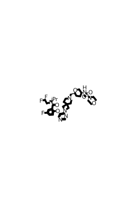 CC(C)N(CC(F)F)C(=O)c1cc(F)ccc1Oc1cncnc1N1CC2(CCN(C[C@@H]3CC[C@@H](NS(=O)(=O)N4CCOCC4)CO3)CC2)C1